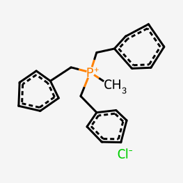 C[P+](Cc1ccccc1)(Cc1ccccc1)Cc1ccccc1.[Cl-]